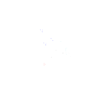 CCOC(=O)C(F)(Cc1ccccc1)C(O)(Cn1cncn1)c1ccc(F)cc1F